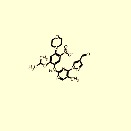 Cc1cnc(Nc2cc([N+](=O)[O-])c(N3CCOCC3)cc2OC(C)C)nc1-n1cc(C=O)cn1